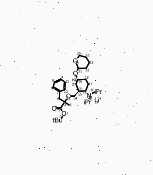 CC(C)(C)OC(=O)C(C)(Cc1ccccc1)OC[C@@H]1CCC[C@H](OC2CCCCO2)C1.CC(C)[N-]C(C)C.[Li+]